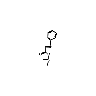 C[Si](C)(C)OC(=O)C=Cc1ccccc1